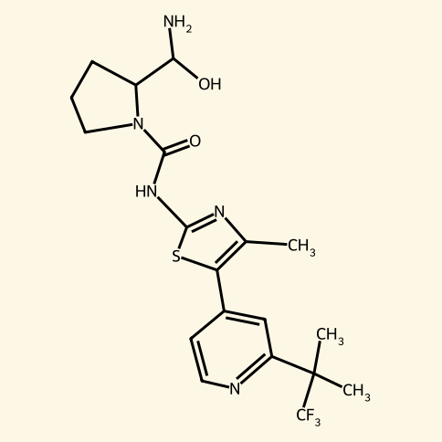 Cc1nc(NC(=O)N2CCCC2C(N)O)sc1-c1ccnc(C(C)(C)C(F)(F)F)c1